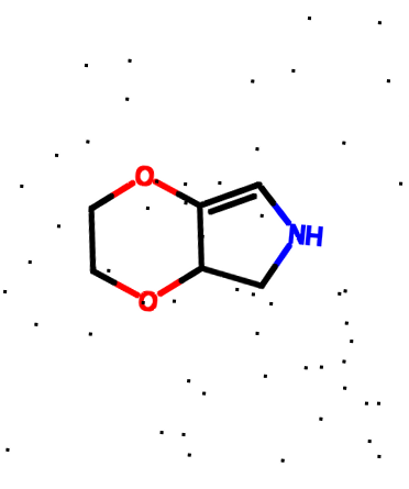 C1=C2OCCOC2CN1